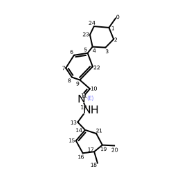 CC1CCC(c2cccc(/C=N/NCC3=CCC(C)C(C)C3)c2)CC1